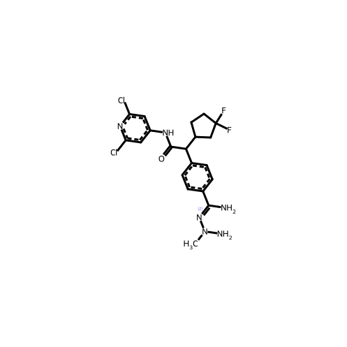 CN(N)/N=C(\N)c1ccc(C(C(=O)Nc2cc(Cl)nc(Cl)c2)C2CCC(F)(F)C2)cc1